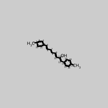 Cc1ccc(C=CC=CC=CC(O)=Cc2ccc(C)cc2)cc1